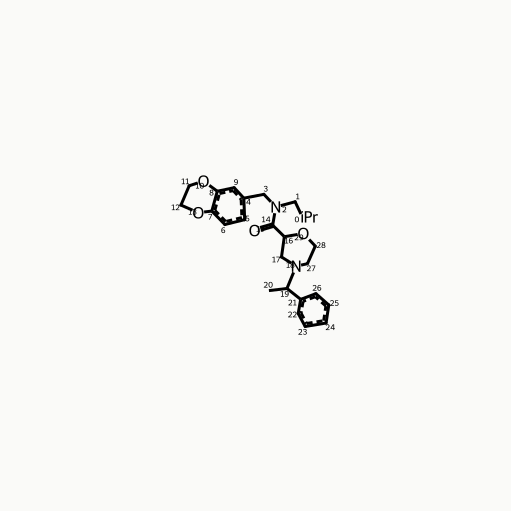 CC(C)CN(Cc1ccc2c(c1)OCCO2)C(=O)C1CN(C(C)c2ccccc2)CCO1